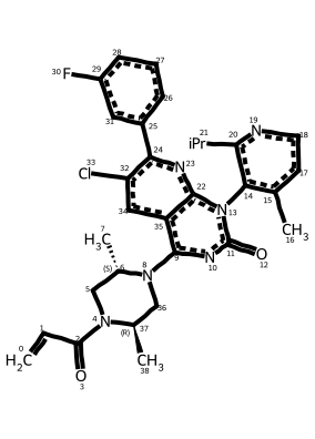 C=CC(=O)N1C[C@H](C)N(c2nc(=O)n(-c3c(C)ccnc3C(C)C)c3nc(-c4cccc(F)c4)c(Cl)cc23)C[C@H]1C